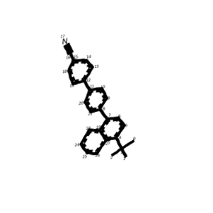 CC(C)(C)c1ccc(-c2ccc(-c3ccc(C#N)cc3)cc2)c2ccccc12